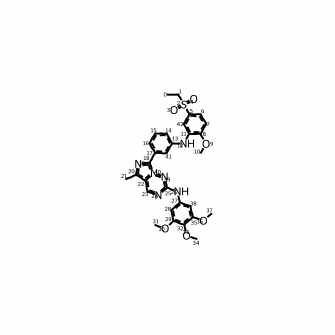 CCS(=O)(=O)c1ccc(OC)c(Nc2cccc(-c3nc(C)c4cnc(Nc5cc(OC)c(OC)c(OC)c5)nn34)c2)c1